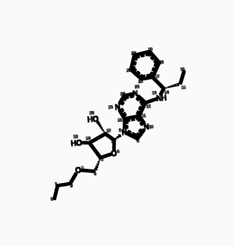 CCCOC[C@H]1O[C@@H](n2cnc3c(N[C@@H](CC)c4ccccc4)ncnc32)[C@@H](O)C1O